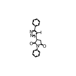 O=C1CC(n2nnc(-c3ccccc3)c2I)C(=O)N1c1ccccc1